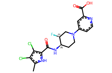 Cc1[nH]c(C(=O)N[C@@H]2CCN(c3ccnc(C(=O)O)c3)C[C@@H]2F)c(Cl)c1Cl